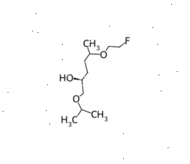 CC(C)OC[C@@H](O)CCC(C)OCCF